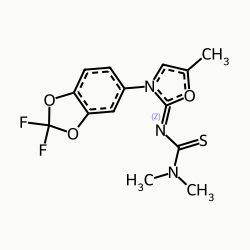 Cc1cn(-c2ccc3c(c2)OC(F)(F)O3)/c(=N/C(=S)N(C)C)o1